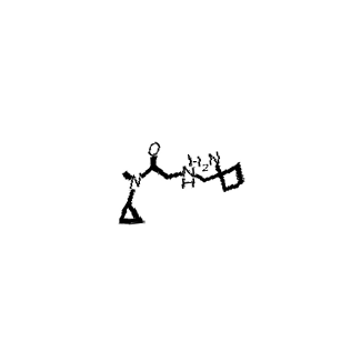 CN(C(=O)CNCC1(N)CCC1)C1CC1